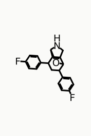 Fc1ccc(C2CC(c3ccc(F)cc3)C3OC4NCC3=C42)cc1